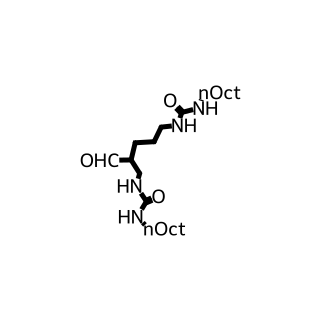 CCCCCCCCNC(=O)NCCCC(C=O)CNC(=O)NCCCCCCCC